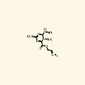 C=CCOC(=O)C1=NC(N)=NC(NC(C)C)N1N